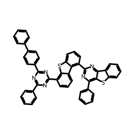 c1ccc(-c2ccc(-c3nc(-c4ccccc4)nc(-c4cccc5c4sc4cccc(-c6nc(-c7ccccc7)c7sc8ccccc8c7n6)c45)n3)cc2)cc1